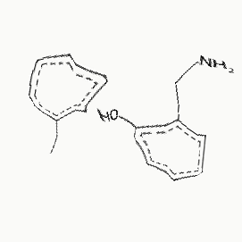 Cc1ccccc1.NCc1ccccc1O